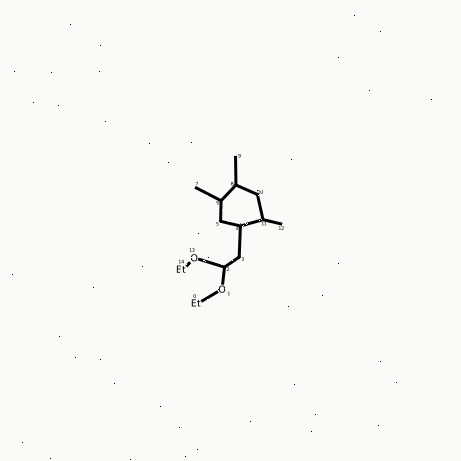 CCOC(C[C]1CC(C)C(C)CC1C)OCC